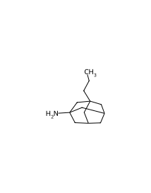 CCCC12CC3CC(CC(N)(C3)C1)C2